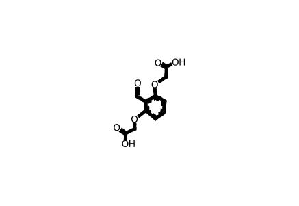 O=Cc1c(OCC(=O)O)cccc1OCC(=O)O